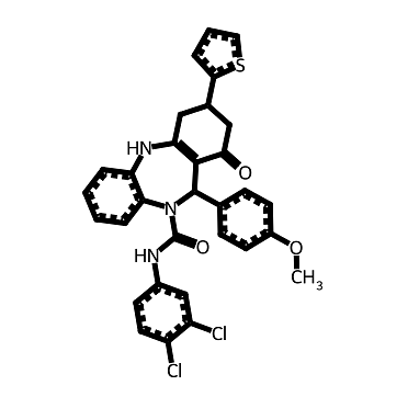 COc1ccc(C2C3=C(CC(c4cccs4)CC3=O)Nc3ccccc3N2C(=O)Nc2ccc(Cl)c(Cl)c2)cc1